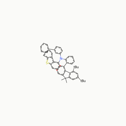 CC(C)(C)c1cc(C(C)(C)C)c2c(c1)C(C)(C)c1cccc(-c3ccccc3N(c3cccc(-c4ccccc4)c3)c3cccc4sc5ccccc5c34)c1-2